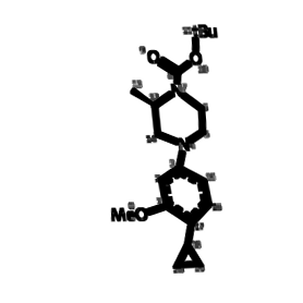 COc1cc(N2CCN(C(=O)OC(C)(C)C)[C@H](C)C2)ccc1C1CC1